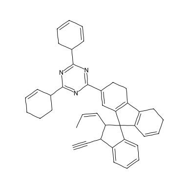 C#CC1c2ccccc2C2(C3=C(CCC=C3)C3=C2C=C(c2nc(C4C=CC=CC4)nc(C4C=CCCC4)n2)CC3)C1/C=C\C